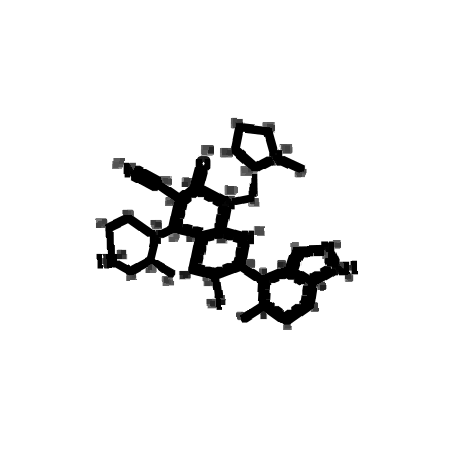 Cc1ccc2[nH]ncc2c1-c1nc2c(cc1F)c(N1CCNC[C@@H]1C)c(C#N)c(=O)n2C[C@@H]1CCCN1C